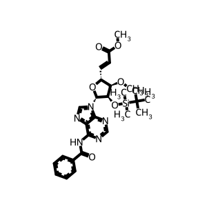 COC(=O)/C=C/[C@H]1O[C@@H](n2cnc3c(NC(=O)c4ccccc4)ncnc32)[C@H](O[Si](C)(C)C(C)(C)C)[C@@H]1OC